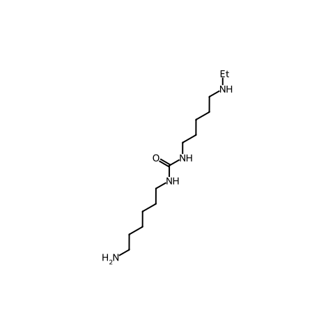 CCNCCCCCNC(=O)NCCCCCCN